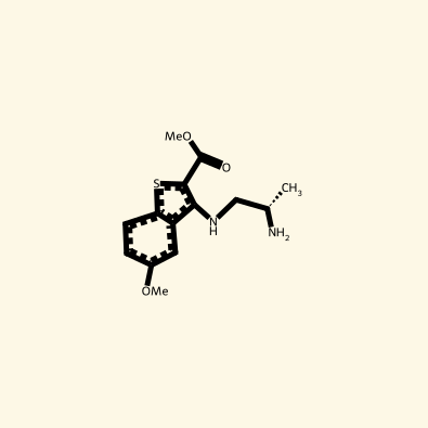 COC(=O)c1sc2ccc(OC)cc2c1NC[C@H](C)N